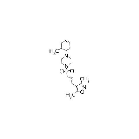 CC1=CC=CCC1N1CCN(S(=O)(=O)CSCc2c(C)noc2C)CC1